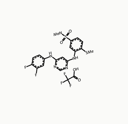 CNS(=O)(=O)c1ccc(SC)c(Nc2cc(Nc3ccc(F)c(F)c3)ncn2)c1.O=C(O)C(F)(F)F